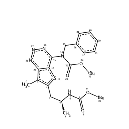 Cc1c(C[C@H](C)NC(=O)OC(C)(C)C)sc2c(N(Cc3ccccc3)C(=O)OC(C)(C)C)nnnc12